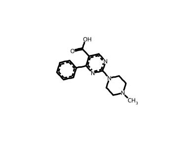 CN1CCN(c2ncc(C(=O)O)c(-c3ccccc3)n2)CC1